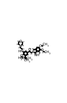 CCOc1cc2c(c(F)c1OCC)C(=N)N(CC(=O)c1cc(NCCN3CCOCC3)c(OC)c(C(C)(C)C)c1)C2